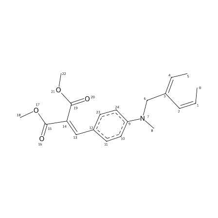 C/C=C\C(=C/C)CN(C)c1ccc(C=C(C(=O)OC)C(=O)OC)cc1